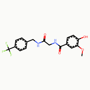 COc1cc(C(=O)NCC(=O)NCc2ccc(C(F)(F)F)cc2)ccc1O